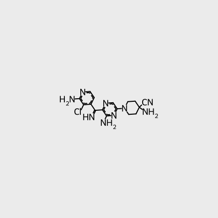 N#CC1(N)CCN(c2cnc(C(=N)c3ccnc(N)c3Cl)c(N)n2)CC1